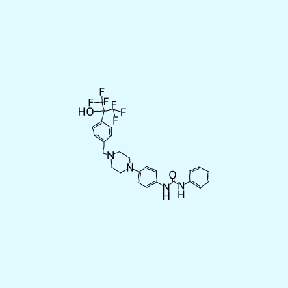 O=C(Nc1ccccc1)Nc1ccc(N2CCN(Cc3ccc(C(O)(C(F)(F)F)C(F)(F)F)cc3)CC2)cc1